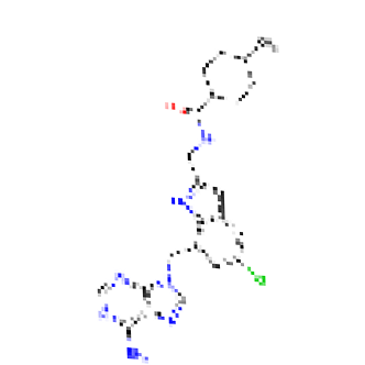 CC1CCC(C(=O)NCc2cc3cc(Cl)cc(Cn4cnc5c(N)ncnc54)c3[nH]2)CC1